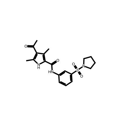 CC(=O)c1c(C)[nH]c(C(=O)Nc2cccc(S(=O)(=O)N3CCCC3)c2)c1C